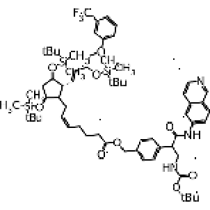 CC(C)(C)OC(=O)NCC(C(=O)Nc1ccc2cnccc2c1)c1ccc(COC(=O)CCC/C=C\CC2C(O[Si](C)(C)C(C)(C)C)CC(O[Si](C)(C)C(C)(C)C)[C@@H]2/C=C/[C@H](COc2cccc(C(F)(F)F)c2)O[Si](C)(C)C(C)(C)C)cc1